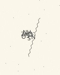 CCCCCCCCCN(CCCCCCCCC)C([O-])=S.NC([O-])=S.[Zn+2]